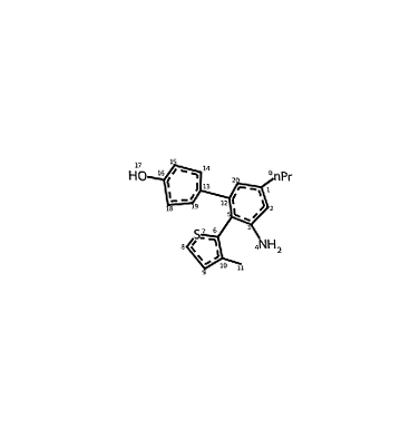 CCCc1cc(N)c(-c2sccc2C)c(-c2ccc(O)cc2)c1